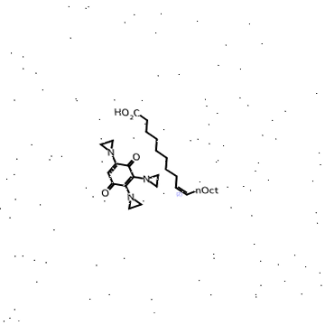 CCCCCCCC/C=C\CCCCCCCC(=O)O.O=C1C=C(N2CC2)C(=O)C(N2CC2)=C1N1CC1